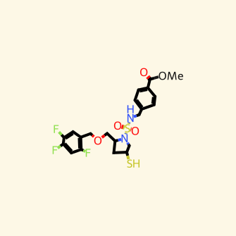 COC(=O)c1ccc(CNS(=O)(=O)N2CC(S)CC2COCc2cc(F)c(F)cc2F)cc1